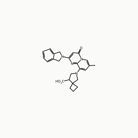 Cc1cc(N2CC(C(=O)O)C3(CCC3)C2)c2nc(N3Cc4ccccc4C3)cc(=O)n2c1